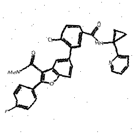 CNC(=O)c1c(-c2ccc(F)cc2)oc2ccc(-c3cc(C(=O)NC4(c5ccccn5)CC4)ccc3Cl)cc12